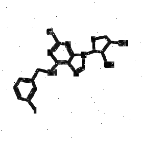 OC1CSC(n2cnc3c(NCc4cccc(I)c4)nc(Cl)nc32)C1O